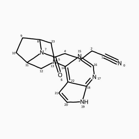 N#CCCCC(=O)N1C2CCC1CN(c1ncnc3[nH]ccc13)C2